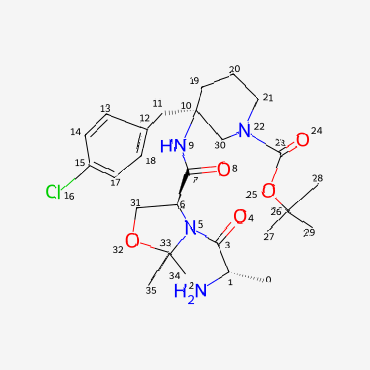 C[C@H](N)C(=O)N1[C@H](C(=O)N[C@@]2(Cc3ccc(Cl)cc3)CCCN(C(=O)OC(C)(C)C)C2)COC1(C)C